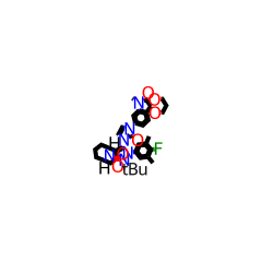 Cc1cc(-n2nc3c(c2-n2ccn(-c4ccc5c(c4)N(C)C(=O)C54OCCCO4)c2=O)[C@@H]2CCC[C@H](C3)N2C(=O)OC(C)(C)C)cc(C)c1F